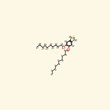 CCCCCCCCCCOc1cc2c(cc1OCCCCCCCCCC)CSC2